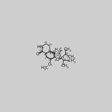 COc1cc2c(cc1O[Si](C(C)C)(C(C)C)C(C)C)CCNC2=O